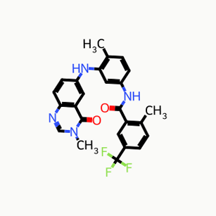 Cc1ccc(NC(=O)c2cc(C(F)(F)F)ccc2C)cc1Nc1ccc2ncn(C)c(=O)c2c1